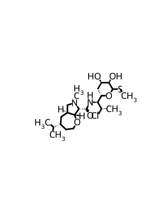 CSC1O[C@H]([C@H](NC(=O)[C@@H]2[C@@H]3OCC[C@H](C(C)C)C[C@H]3CN2C)[C@H](C)Cl)C[C@@H](O)[C@H]1O